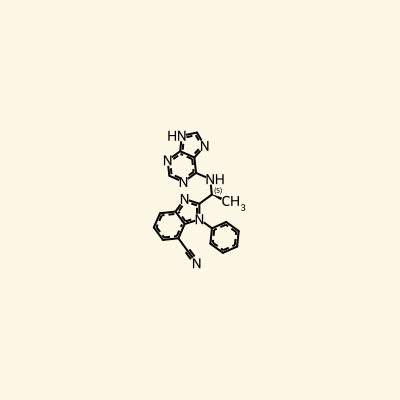 C[C@H](Nc1ncnc2[nH]cnc12)c1nc2cccc(C#N)c2n1-c1ccccc1